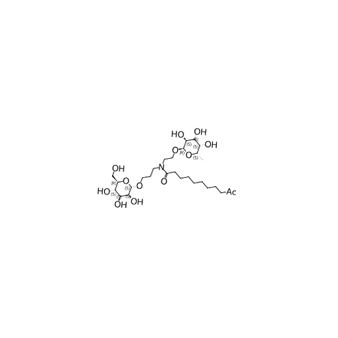 CC(=O)CCCCCCCCC(=O)N(CCCO[C@H]1O[C@H](CO)[C@@H](O)[C@H](O)[C@@H]1O)CCO[C@@H]1O[C@@H](C)[C@@H](O)[C@@H](O)[C@@H]1O